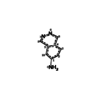 Nc1ccc2cnncc2c1